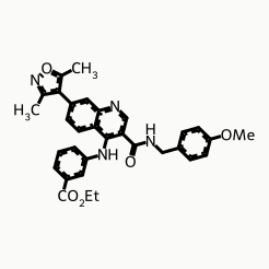 CCOC(=O)c1cccc(Nc2c(C(=O)NCc3ccc(OC)cc3)cnc3cc(-c4c(C)noc4C)ccc23)c1